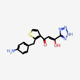 Nc1ccc(Cc2sccc2C(=O)C=C(O)c2nn[nH]n2)cc1